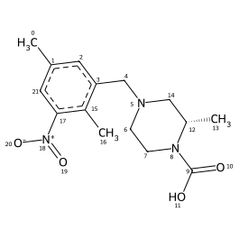 Cc1cc(CN2CCN(C(=O)O)[C@@H](C)C2)c(C)c([N+](=O)[O-])c1